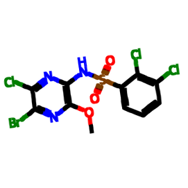 COc1nc(Br)c(Cl)nc1NS(=O)(=O)c1cccc(Cl)c1Cl